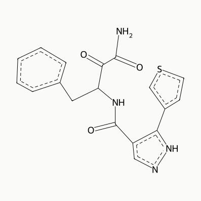 NC(=O)C(=O)C(Cc1ccccc1)NC(=O)c1cn[nH]c1-c1ccsc1